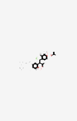 C=C(C)COc1ccc([C@H](F)C2c3cc(OC)c(OC)cc3OCC2C)c(C)c1CC